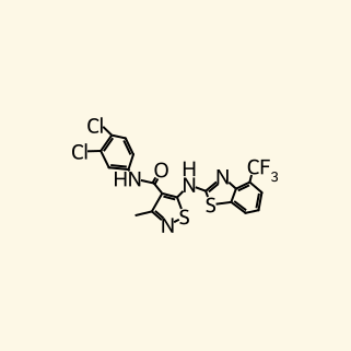 Cc1nsc(Nc2nc3c(C(F)(F)F)cccc3s2)c1C(=O)Nc1ccc(Cl)c(Cl)c1